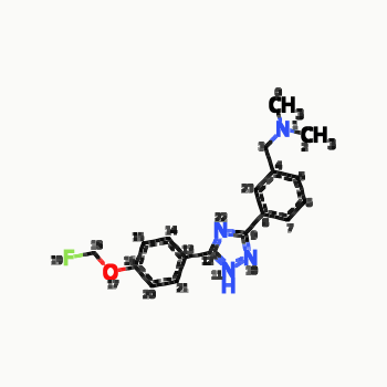 CN(C)Cc1cccc(-c2n[nH]c(-c3ccc(OCF)cc3)n2)c1